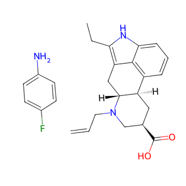 C=CCN1C[C@H](C(=O)O)C[C@@H]2c3cccc4[nH]c(CC)c(c34)C[C@H]21.Nc1ccc(F)cc1